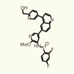 COc1ncc(-c2ccc3nccc(-c4ccc(CO)nc4)c3c2)cc1N[S+]([O-])c1ccc(F)cc1F